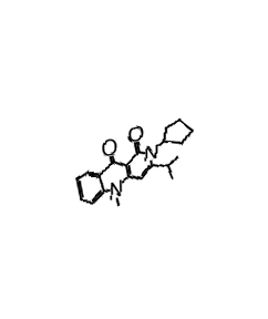 CC(C)c1cc2c(c(=O)c3ccccc3n2C)c(=O)n1C1CCCC1